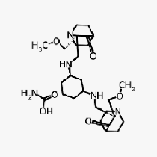 COC[C@@]1(CN[C@@H]2CCC[C@H](NC[C@]3(COC)C(=O)C4CCN3CC4)C2)C(=O)C2CCN1CC2.NC(=O)O